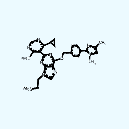 COc1ncnc(C2CC2)c1-c1nc(OCc2ccc(-c3nc(C(F)(F)F)cn3C)cc2)c2ncn(CCSC)c2n1